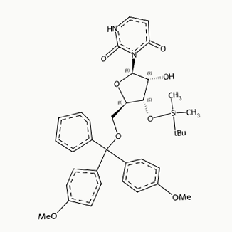 COc1ccc(C(OC[C@H]2O[C@@H](n3c(=O)cc[nH]c3=O)[C@H](O)[C@@H]2O[Si](C)(C)C(C)(C)C)(c2ccccc2)c2ccc(OC)cc2)cc1